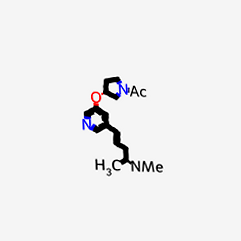 CN[C@@H](C)C/C=C/c1cncc(O[C@@H]2CCN(C(C)=O)C2)c1